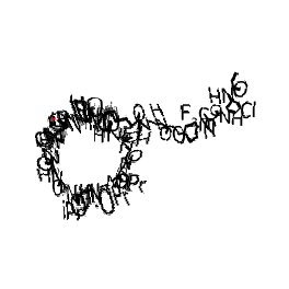 C=CC(=O)Nc1cc(Cl)cc(NC(=O)c2cnn(-c3ccc(OCC(=O)NCCNC(=O)CCC[C@@H](C)[C@@H](O)[C@H]4C(=O)N[C@@H](CC)C(=O)N(C)CC(=O)N(C)[C@@H](CC(C)C)C(=O)NC(C(C)C)C(=O)N(C)[C@@H](CC(C)C)C(=O)N[C@@H](C)C(=O)N[C@H](C)C(=O)N(C)[C@@H](CC(C)C)C(=O)N(C)[C@@H](CC(C)C)C(=O)N(C)[C@@H](C(C)C)C(=O)N4C)cc3)c2C(F)(F)F)c1